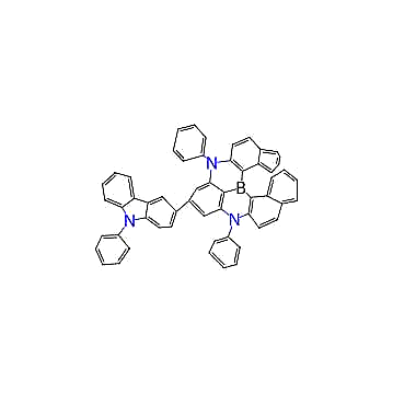 c1ccc(N2c3cc(-c4ccc5c(c4)c4ccccc4n5-c4ccccc4)cc4c3B(c3c2ccc2ccccc32)c2c(ccc3ccccc23)N4c2ccccc2)cc1